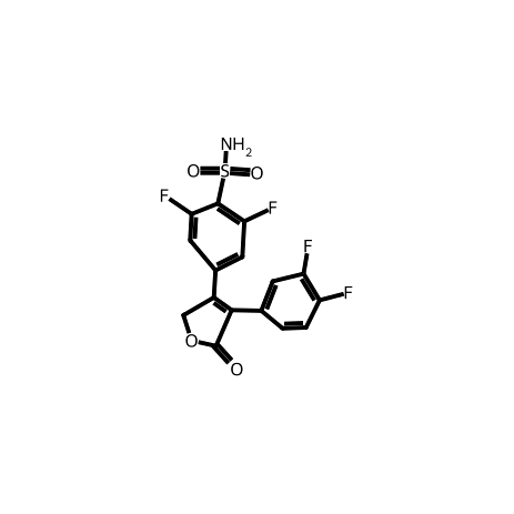 NS(=O)(=O)c1c(F)cc(C2=C(c3ccc(F)c(F)c3)C(=O)OC2)cc1F